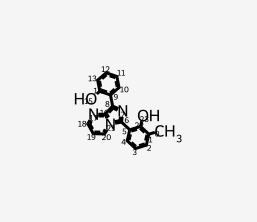 Cc1cccc(-c2nc(-c3ccccc3O)c3ncccn23)c1O